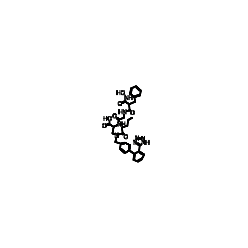 CCCCC(=O)N(Cc1ccc(-c2ccccc2-c2nnn[nH]2)cc1)CC(NC(=O)CNC(=O)C(Cc1ccccc1)C(=O)NO)C(=O)O